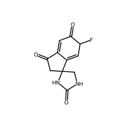 O=C1NCC2(CC(=O)C3=CC(=O)C(F)C=C32)N1